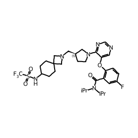 CC(C)N(C(=O)c1cc(F)ccc1Oc1cncnc1N1CC[C@@H](CN2CC3(CCC(NS(=O)(=O)C(F)(F)F)CC3)C2)C1)C(C)C